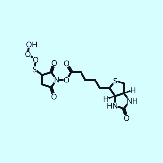 O=C1N[C@H]2CSC(CCCCC(=O)ON3C(=O)CC(SOOO)C3=O)[C@H]2N1